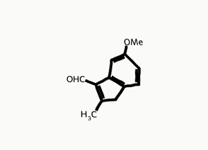 COc1ccc2c(c1)C(C=O)=C(C)C2